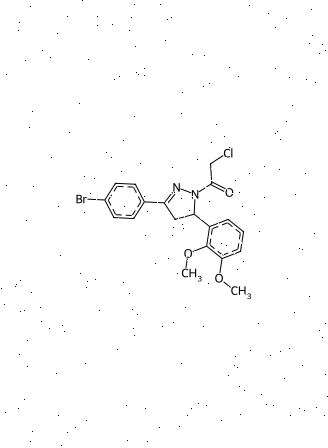 COc1cccc(C2CC(c3ccc(Br)cc3)=NN2C(=O)CCl)c1OC